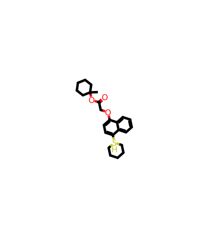 CC1(OC(=O)COc2ccc([SH]3CCCCC3)c3ccccc23)CCCCC1